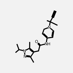 C#CC(C)(C)N1C=CC(NC(=O)Cc2c(C)nn(C(C)C)c2C)=CC1